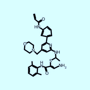 C=CC(=O)Nc1cccc(-c2cc(CN3CCOCC3)cc(NC(C)S/C(=C\N)C(=O)Nc3c(C)cccc3C)n2)c1